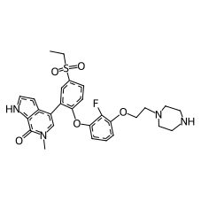 CCS(=O)(=O)c1ccc(Oc2cccc(OCCN3CCNCC3)c2F)c(-c2cn(C)c(=O)c3[nH]ccc23)c1